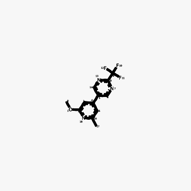 COc1cc(-c2cnc(C(F)(F)F)nc2)cc(C)n1